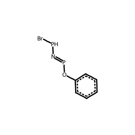 BrPN=POc1ccccc1